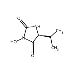 CC(C)[C@@H]1NC(=O)N(O)C1=O